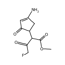 COC(=O)C(C(=O)CF)C1CC(N)=CC1=O